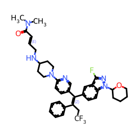 CN(C)C(=O)/C=C/CNC1CCN(c2ccc(/C(=C(/CC(F)(F)F)c3ccccc3)c3ccc4c(c3)c(F)nn4C3CCCCO3)cn2)CC1